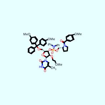 COCCO[C@@H]1[C@H](OP(=O)(OC[C@H]2CCCN2C(=O)c2ccc(OC)cc2)N(C(C)C)C(C)C)[C@@H](COC(c2ccccc2)(c2ccc(OC)cc2)c2ccc(OC)cc2)O[C@H]1n1cc(C)c(=O)[nH]c1=O